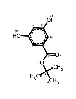 CC(C)(C)OC(=O)c1cc(O)cc(O)c1